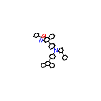 c1ccc(-c2cccc(N(c3ccc(-c4cc5ccccc5c5ccccc45)cc3)c3ccc(-c4cc5nc(-c6ccccc6)oc5c5ccccc45)cc3)c2)cc1